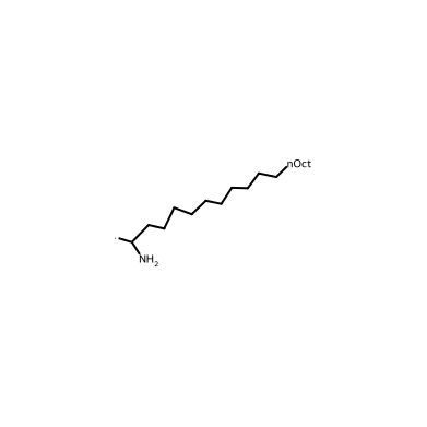 [CH2]C(N)CCCCCCCCCCCCCCCCCC